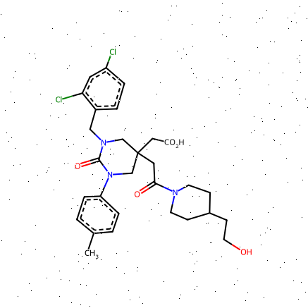 Cc1ccc(N2CC(CC(=O)O)(CC(=O)N3CCC(CCO)CC3)CN(Cc3ccc(Cl)cc3Cl)C2=O)cc1